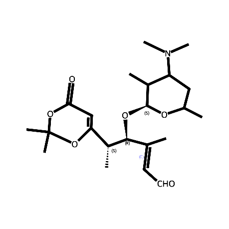 C/C(=C\C=O)[C@H](O[C@@H]1OC(C)CC(N(C)C)C1C)[C@H](C)C1=CC(=O)OC(C)(C)O1